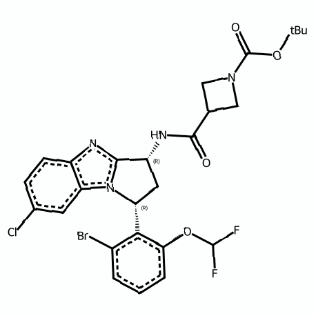 CC(C)(C)OC(=O)N1CC(C(=O)N[C@@H]2C[C@H](c3c(Br)cccc3OC(F)F)n3c2nc2ccc(Cl)cc23)C1